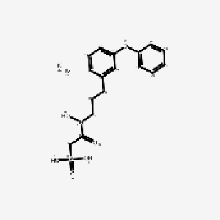 O=C(CP(=O)(O)O)N(O)CCCc1cccc(Oc2ccccc2)c1.[K].[K]